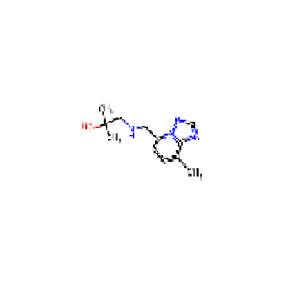 Cc1ccc(CNCC(C)(C)O)n2ncnc12